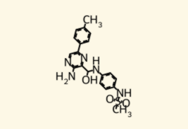 Cc1ccc(-c2cnc(N)c(C(O)Nc3ccc(NS(C)(=O)=O)cc3)n2)cc1